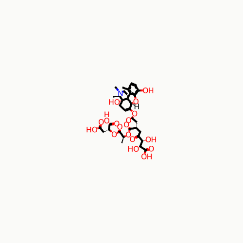 Cc1ccc(O)c2c1[C@]13CCN(C)[C@H](C)[C@]1(O)CC=C(OC(=O)C[C@H](CC(=O)[C@H](O)[C@@H](O)C(=O)O)C(=O)O[C@@H](C)C(=O)O[C@H](CC(=O)O)C(=O)O)[C@@H]3O2